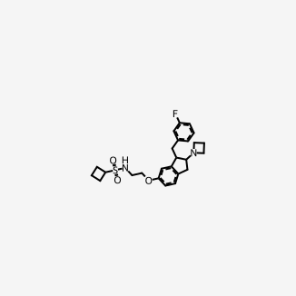 O=S(=O)(NCCOc1ccc2c(c1)C(Cc1cccc(F)c1)C(N1CCC1)C2)C1CCC1